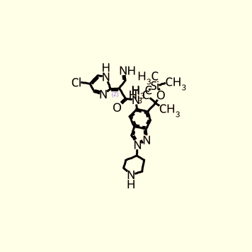 CC(C)(O[Si](C)(C)C)c1cc2nn(C3CCNCC3)cc2cc1NC(=O)/C(C=N)=C1\N=CC(Cl)=CN1